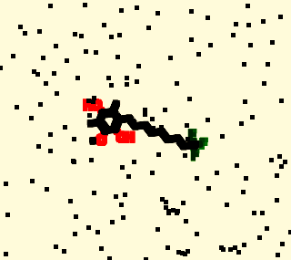 COc1c(C)c(O)c(C)c(CCCCCCCCC(F)(F)F)c1O